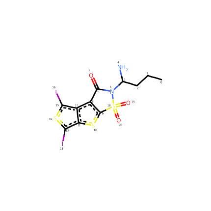 CCCC(N)N1C(=O)c2c(sc3c(I)sc(I)c23)S1(=O)=O